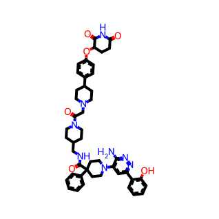 Nc1nnc(-c2ccccc2O)cc1N1CCC(C(=O)NCC2CCN(C(=O)CN3CCC(c4ccc(OC5CCC(=O)NC5=O)cc4)CC3)CC2)(c2ccccc2)CC1